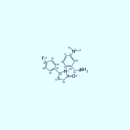 CN(C)c1ccc(N2C(=O)CSC2c2ccc(F)cc2)c(CN)c1